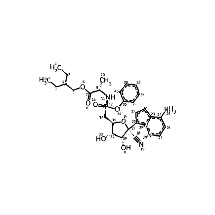 CCC(CC)COC(=O)[C@H](C)N[P@](=O)(C[C@H]1O[C@@](C#N)(c2ccc3c(N)ccnn23)[C@H](O)[C@@H]1O)Oc1ccccc1